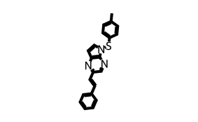 Cc1ccc(Sn2ccc3nc(/C=C/c4ccccc4)cnc32)cc1